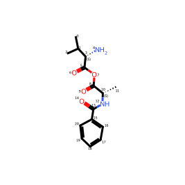 CC(C)[C@H](N)C(=O)OC(=O)[C@H](C)NC(=O)c1ccccc1